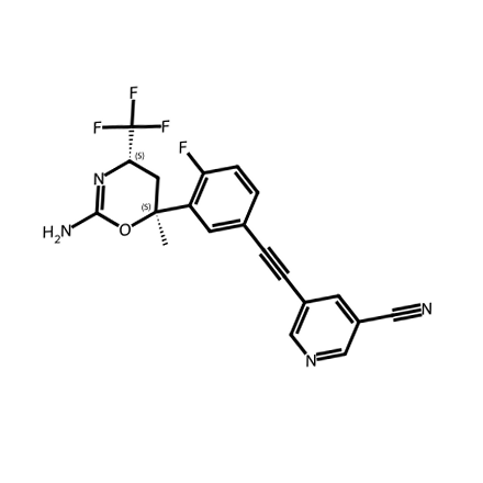 C[C@@]1(c2cc(C#Cc3cncc(C#N)c3)ccc2F)C[C@@H](C(F)(F)F)N=C(N)O1